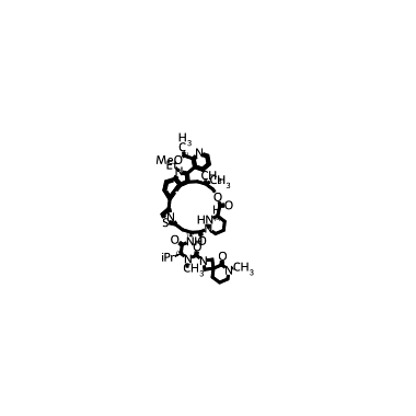 CCn1c(-c2cccnc2[C@H](C)OC)c2c3cc(ccc31)-c1csc(n1)C[C@H](NC(=O)[C@H](C(C)C)N(C)C(=O)N1CC3(CCCN(C)C3=O)C1)C(=O)N1CCC[C@H](N1)C(=O)OCC(C)(C)C2